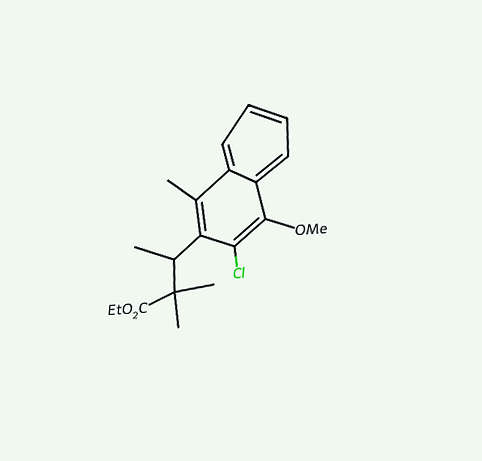 CCOC(=O)C(C)(C)C(C)c1c(Cl)c(OC)c2ccccc2c1C